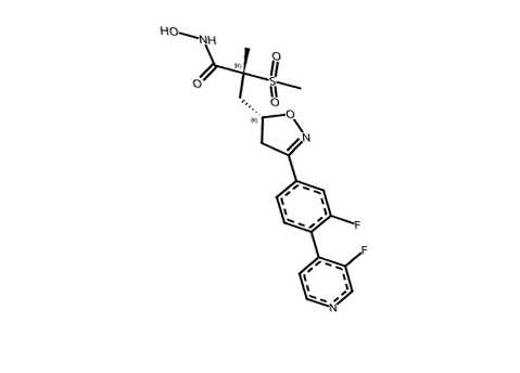 C[C@@](C[C@H]1CC(c2ccc(-c3ccncc3F)c(F)c2)=NO1)(C(=O)NO)S(C)(=O)=O